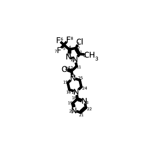 Cc1c(Cl)c(C(F)(F)F)nn1CC(=O)N1CCN(c2cnccn2)CC1